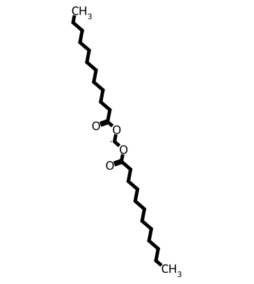 CCCCCCCCCCCC(=O)O[CH]OC(=O)CCCCCCCCCCC